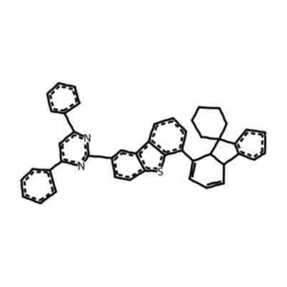 C1=CC2c3ccccc3C3(CCCCC3)C2C(c2cccc3c2sc2ccc(-c4nc(-c5ccccc5)cc(-c5ccccc5)n4)cc23)=C1